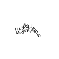 COC[C@@]1(C)SC(N)=N[C@](C)(c2cc(/C=C(\F)c3cnc(OCC4COC4)cn3)ccc2F)[C@@H]1C